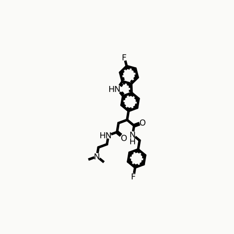 CN(C)CCNC(=O)CC(C(=O)NCc1ccc(F)cc1)c1ccc2c(c1)[nH]c1cc(F)ccc12